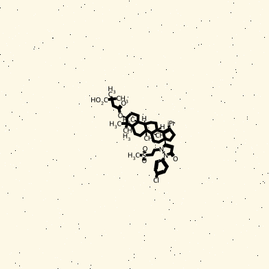 CC(C)C1=C2[C@H]3CC[C@@H]4[C@@]5(C)CC[C@H](OC(=O)CC(C)(C)C(=O)O)C(C)(C)[C@@H]5CC[C@@]4(C)[C@]3(C)CC[C@@]2(c2cc(=O)n(-c3ccc(Cl)cc3)n2CCS(C)(=O)=O)CC1